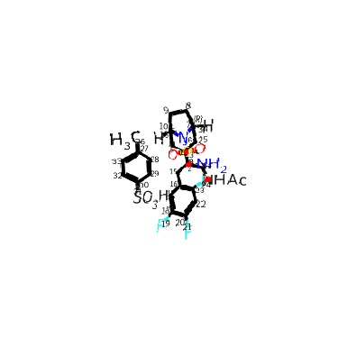 CC(=O)NCCS(=O)(=O)N1[C@@H]2CC[C@H]1C[C@H]([C@H](N)Cc1cc(F)c(F)cc1F)C2.Cc1ccc(S(=O)(=O)O)cc1